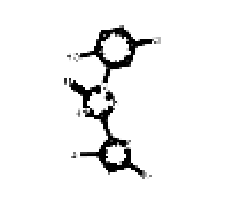 O=c1[nH]c(-c2sc(Br)cc2Br)nn1-c1cc(Cl)ccc1O